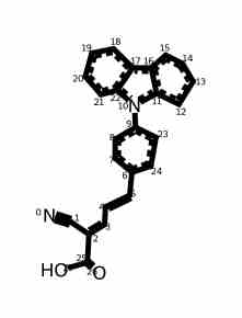 N#C/C(=C\C=C\c1ccc(-n2c3ccccc3c3ccccc32)cc1)C(=O)O